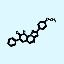 COc1ccc(-c2cc3ncc4cc(-c5ccccc5)c(=O)[nH]c4n3n2)cc1